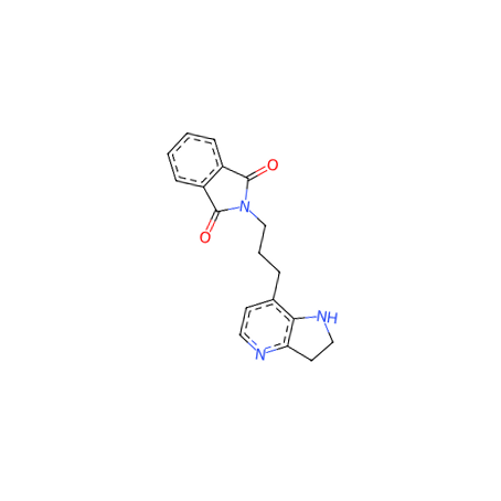 O=C1c2ccccc2C(=O)N1CCCc1ccnc2c1NCC2